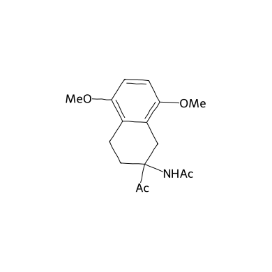 COc1ccc(OC)c2c1CCC(NC(C)=O)(C(C)=O)C2